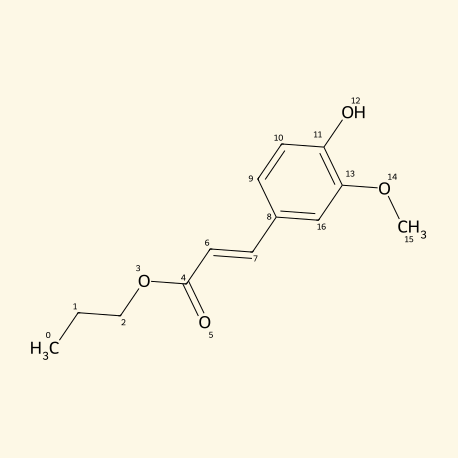 CCCOC(=O)C=Cc1ccc(O)c(OC)c1